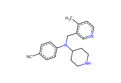 Cc1ccncc1CN(c1ccc(C#N)cc1)C1CCNCC1